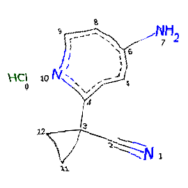 Cl.N#CC1(c2cc(N)ccn2)CC1